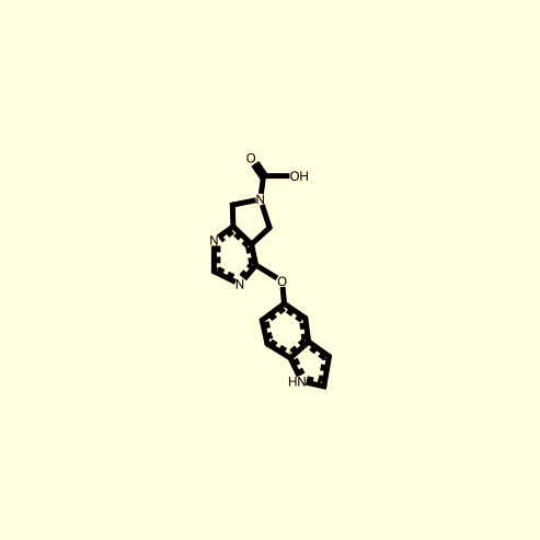 O=C(O)N1Cc2ncnc(Oc3ccc4[nH]ccc4c3)c2C1